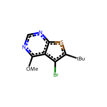 COc1ncnc2sc(C(C)(C)C)c(Br)c12